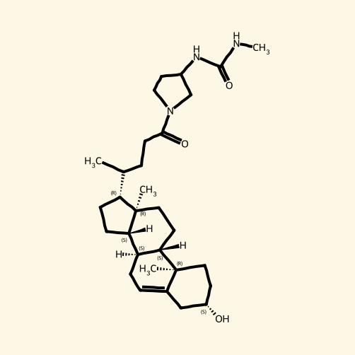 CNC(=O)NC1CCN(C(=O)CCC(C)[C@H]2CC[C@H]3[C@@H]4CC=C5C[C@@H](O)CC[C@]5(C)[C@H]4CC[C@]23C)C1